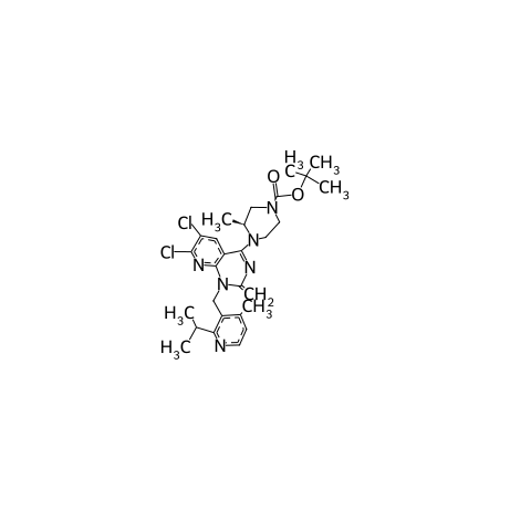 C=C1N=C(N2CCN(C(=O)OC(C)(C)C)C[C@@H]2C)c2cc(Cl)c(Cl)nc2N1Cc1c(C)ccnc1C(C)C